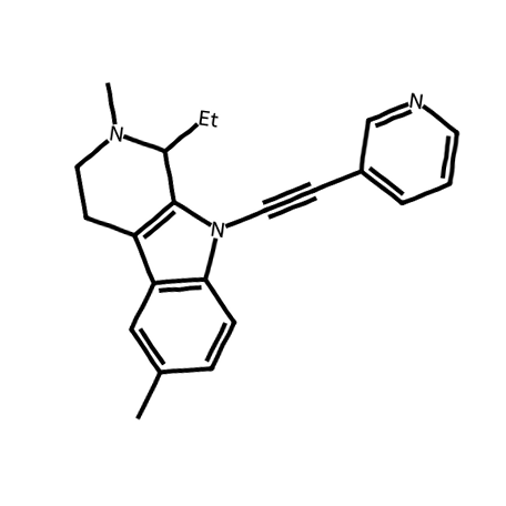 CCC1c2c(c3cc(C)ccc3n2C#Cc2cccnc2)CCN1C